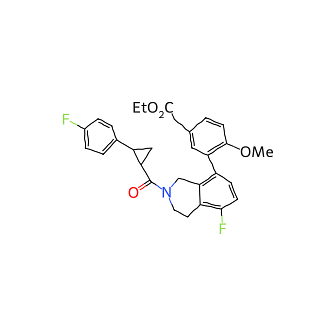 CCOC(=O)Cc1ccc(OC)c(-c2ccc(F)c3c2CN(C(=O)C2CC2c2ccc(F)cc2)CC3)c1